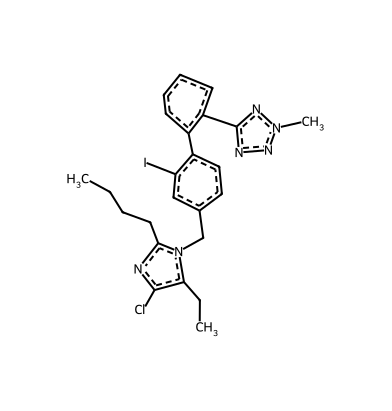 CCCCc1nc(Cl)c(CC)n1Cc1ccc(-c2ccccc2-c2nnn(C)n2)c(I)c1